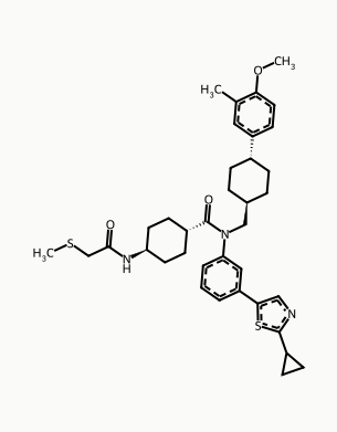 COc1ccc([C@H]2CC[C@H](CN(c3cccc(-c4cnc(C5CC5)s4)c3)C(=O)[C@H]3CC[C@H](NC(=O)CSC)CC3)CC2)cc1C